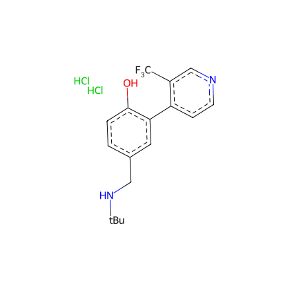 CC(C)(C)NCc1ccc(O)c(-c2ccncc2C(F)(F)F)c1.Cl.Cl